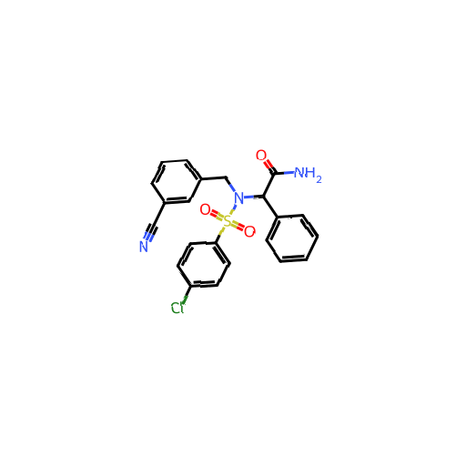 N#Cc1cccc(CN(C(C(N)=O)c2ccccc2)S(=O)(=O)c2ccc(Cl)cc2)c1